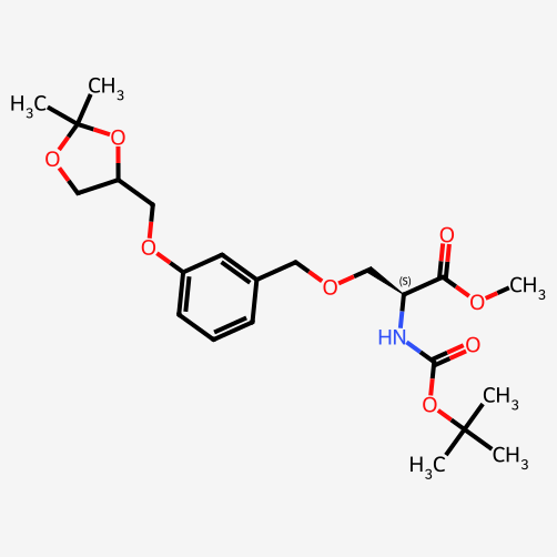 COC(=O)[C@H](COCc1cccc(OCC2COC(C)(C)O2)c1)NC(=O)OC(C)(C)C